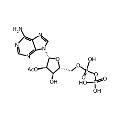 CC(=O)O[C@@H]1[C@H](O)[C@@H](COP(=O)(O)OP(=O)(O)O)O[C@H]1n1cnc2c(N)ncnc21